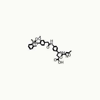 COc1cc(CC(=O)Nc2ccc(C(CCC(=O)O)NC(=O)c3cc(C)on3)cc2)ccc1NC(=O)N(C)c1ccccc1C